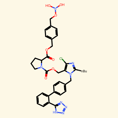 CCCCc1nc(Cl)c(COC(=O)N2CCCC2C(=O)OCc2ccc(CON(O)O)cc2)n1Cc1ccc(-c2ccccc2-c2nnn[nH]2)cc1